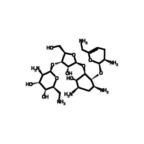 NCC1=CC[C@@H](N)[C@@H](O[C@H]2[C@H](O[C@@H]3O[C@H](CO)[C@@H](O[C@H]4O[C@@H](CN)[C@H](O)[C@H](O)[C@H]4N)[C@H]3O)[C@@H](O)[C@H](N)C[C@@H]2N)O1